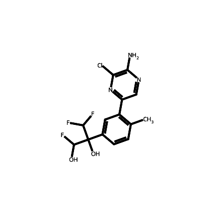 Cc1ccc(C(O)(C(O)F)C(F)F)cc1-c1cnc(N)c(Cl)n1